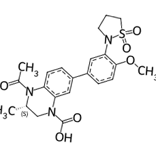 COc1ccc(-c2ccc3c(c2)N(C(=O)O)C[C@H](C)N3C(C)=O)cc1N1CCCS1(=O)=O